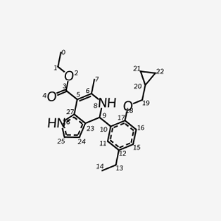 CCOC(=O)C1=C(C)NC(c2cc(CC)ccc2OCC2CC2)c2cc[nH]c21